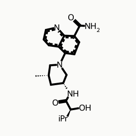 CC(C)[C@H](O)C(=O)N[C@@H]1C[C@H](C)CN(c2ccc(C(N)=O)c3ncccc23)C1